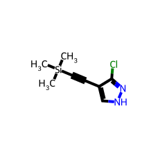 C[Si](C)(C)C#Cc1c[nH]nc1Cl